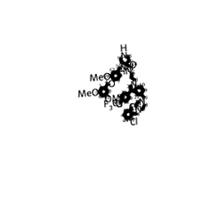 COc1cc(COc2ccc(CNC3(C(=O)NCCCn4cc(-c5ccc(OC(F)(F)F)cc5)c5cc(CN6CCN(Cc7c(Cl)cccc7Cl)CC6)ccc54)CCNCC3)cc2OC)cc(OC)c1